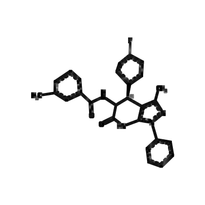 Cc1cccc(C(=O)NC2C(=O)Nc3c(c(C)nn3-c3ccccc3)[C@@H]2c2ccc(F)cc2)c1